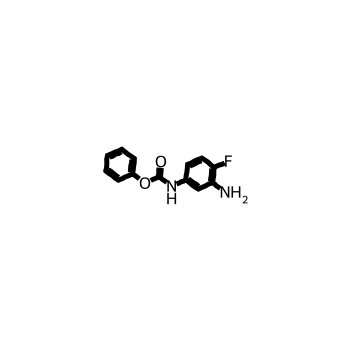 Nc1cc(NC(=O)Oc2ccccc2)ccc1F